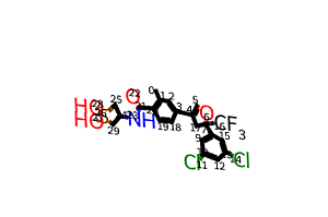 Cc1cc(C2=COC(c3cc(Cl)cc(Cl)c3)(C(F)(F)F)C2)ccc1C(=O)NC1CS(O)(O)C1